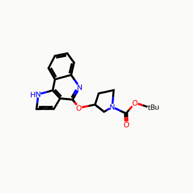 CC(C)(C)OC(=O)N1CCC(Oc2nc3ccccc3c3[nH]ccc23)C1